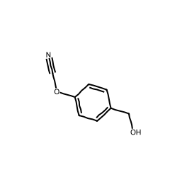 N#COc1ccc(CO)cc1